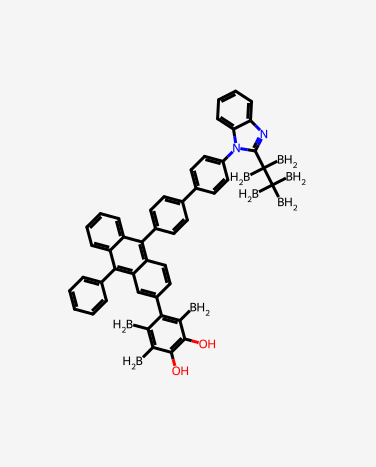 Bc1c(B)c(-c2ccc3c(-c4ccc(-c5ccc(-n6c(C(B)(B)C(B)(B)B)nc7ccccc76)cc5)cc4)c4ccccc4c(-c4ccccc4)c3c2)c(B)c(O)c1O